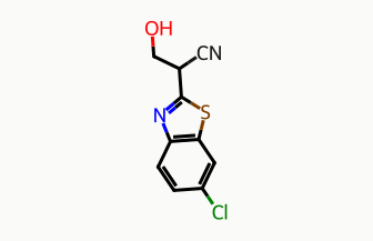 N#CC(CO)c1nc2ccc(Cl)cc2s1